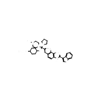 CC(=O)N1CCN(C(OC2CCC(C(=O)O)CC2)(C(=O)Cc2ccc(NC(=O)c3csc4ccccc34)c(Cl)c2F)N2CCCC2)CC1